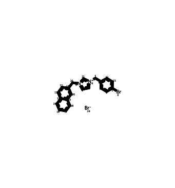 Brc1ccc(C[n+]2ccn(Cc3ccc4ccccc4c3)c2)cc1.[Br-]